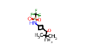 CC(C)(C)C(=O)C1CC(NS(=O)(=O)C(F)(F)F)C1